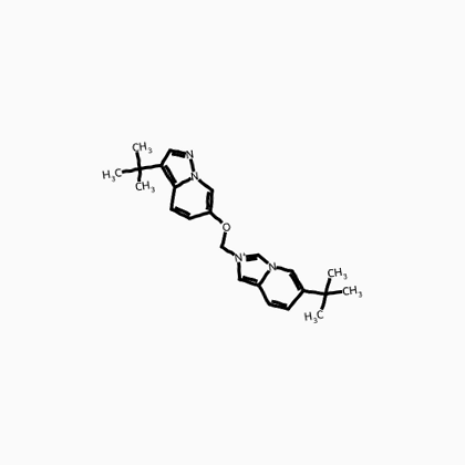 CC(C)(C)c1ccc2c[n+](COc3ccc4c(C(C)(C)C)cnn4c3)cn2c1